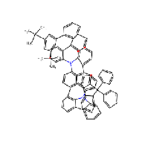 CC(C)(C)c1cc(-c2cccc3cccc(-c4ccccc4N(c4ccc(-c5cccc6c7ccccc7n(-c7ccccc7)c56)cc4)c4ccccc4-c4ccc5c(c4)C(c4ccccc4)(c4ccccc4)c4ccccc4-5)c23)cc(C(C)(C)C)c1